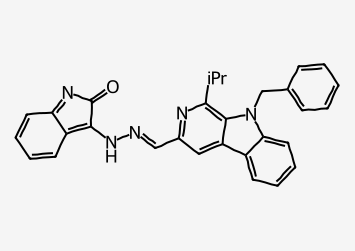 CC(C)c1nc(/C=N/NC2=c3ccccc3=NC2=O)cc2c3ccccc3n(Cc3ccccc3)c12